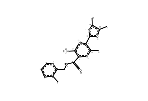 Cc1cccnc1CNC(=O)c1nc(C)c(-c2nc(C)c(C)o2)nc1N